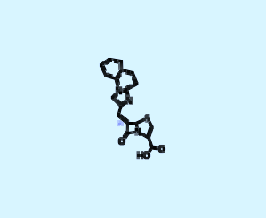 O=C(O)C1=CSC2/C(=C\c3cn4c(ccc5ccccc54)n3)C(=O)N12